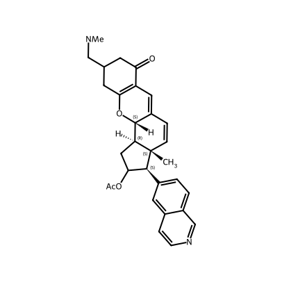 CNCC1CC(=O)C2=C(C1)O[C@@H]1C(=C2)C=C[C@]2(C)[C@@H](c3ccc4cnccc4c3)C(OC(C)=O)C[C@@H]12